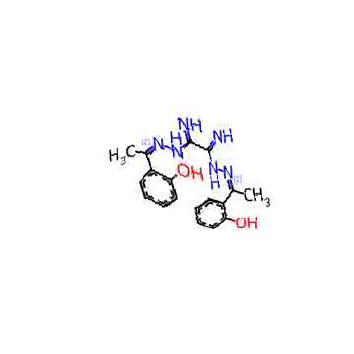 C/C(=N/NC(=N)C(=N)N/N=C(/C)c1ccccc1O)c1ccccc1O